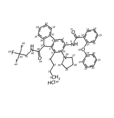 CCCCc1c2c(cc(NC(=O)c3ccccc3Oc3ccccc3)c1N1CCCC1)-c1ccccc1C2C(=O)NCC(F)(F)F.Cl